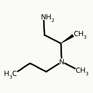 CCCN(C)[C@H](C)CN